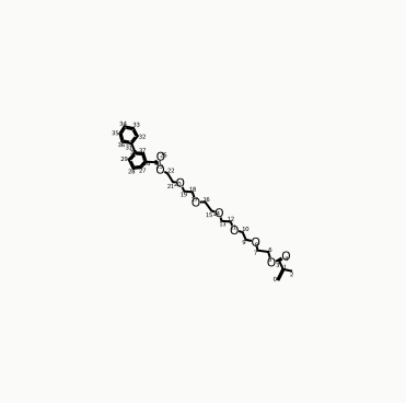 C=C(C)C(=O)OCCOCCOCCOCCOCCOCCOC(=O)c1cccc(-c2ccccc2)c1